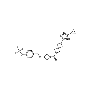 O=C(N1CC(OCc2ccc(OC(F)(F)F)cc2)C1)N1CC2(CC(c3nnc(C4CC4)[nH]3)C2)C1